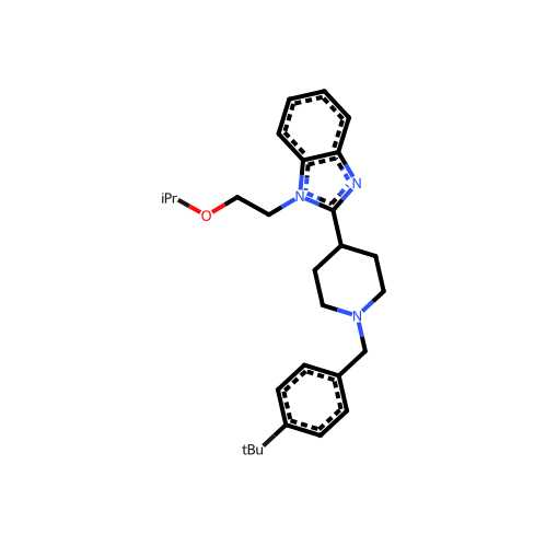 CC(C)OCCn1c(C2CCN(Cc3ccc(C(C)(C)C)cc3)CC2)nc2ccccc21